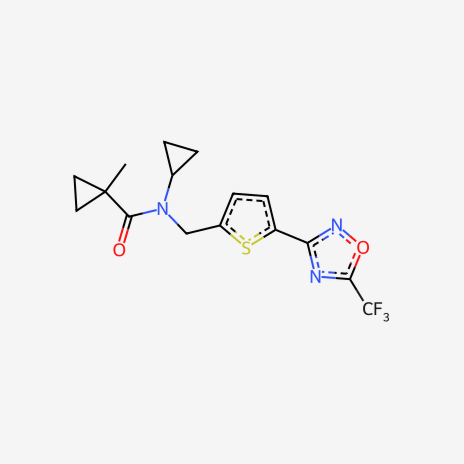 CC1(C(=O)N(Cc2ccc(-c3noc(C(F)(F)F)n3)s2)C2CC2)CC1